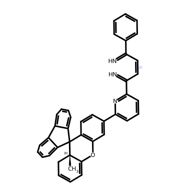 C[C@]12CC=CC=C1Oc1cc(-c3cccc(C(=N)/C=C\C(=N)c4ccccc4)n3)ccc1C21c2ccccc2-c2ccccc21